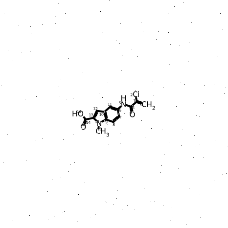 C=C(Cl)C(=O)Nc1ccc2c(c1)cc(C(=O)O)n2C